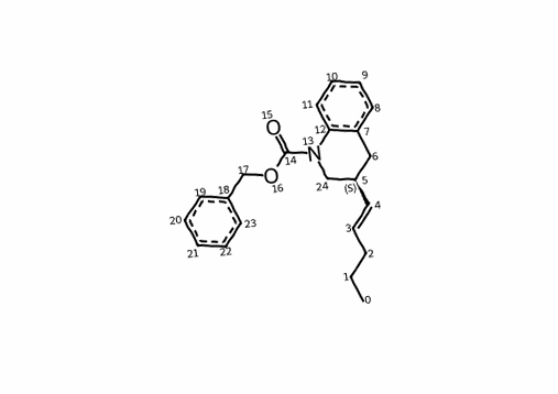 CCCC=C[C@@H]1Cc2ccccc2N(C(=O)OCc2ccccc2)C1